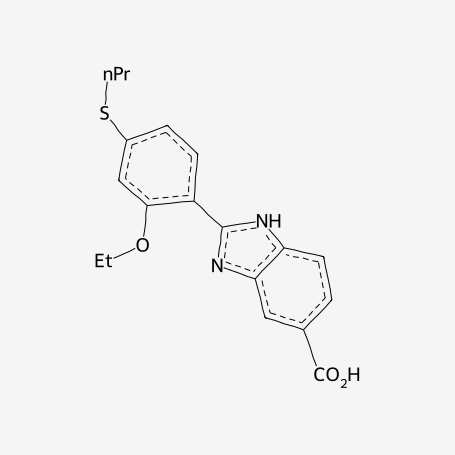 CCCSc1ccc(-c2nc3cc(C(=O)O)ccc3[nH]2)c(OCC)c1